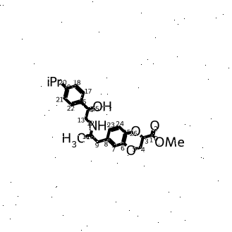 COC(=O)C1COc2cc(CC(C)NCC(O)c3ccc(C(C)C)cc3)ccc2O1